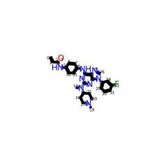 C=CC(=O)Nc1ccc(Nc2nc(N(C)C3CCN(C)CC3)nc3c2ncn3-c2cccc(F)c2)cc1